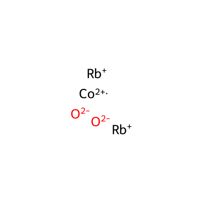 [Co+2].[O-2].[O-2].[Rb+].[Rb+]